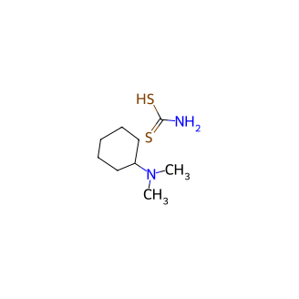 CN(C)C1CCCCC1.NC(=S)S